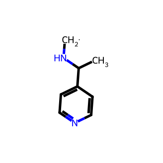 [CH2]NC(C)c1ccncc1